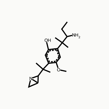 CCC(N)C(C)(C)c1cc(OC)c(C(C)(C)C2C3CN32)cc1O